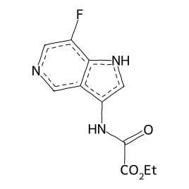 CCOC(=O)C(=O)Nc1c[nH]c2c(F)cncc12